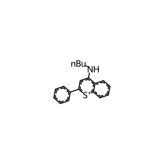 CCCCNc1cc(-c2ccccc2)[s+]c2ccccc12